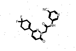 N#Cc1cncc(NC(=O)Cn2nc(C3=CCC(F)(F)CC3)ccc2=O)c1